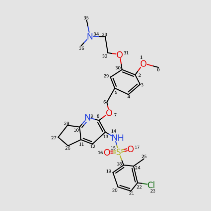 COc1ccc(COc2nc3c(cc2NS(=O)(=O)c2cccc(Cl)c2C)CCC3)cc1OCCN(C)C